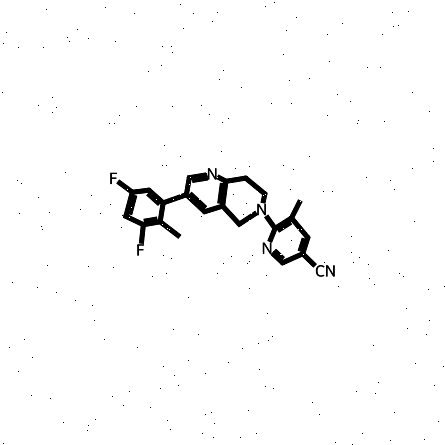 Cc1cc(C#N)cnc1N1CCc2ncc(-c3cc(F)cc(F)c3C)cc2C1